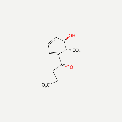 O=C(O)CCC(=O)C1=CC=C[C@@H](O)[C@@H]1C(=O)O